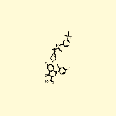 O=C(O)c1cn(-c2ccc(F)cc2F)c2cc(N3CC4C(C3)C4NC(=S)Nc3cccc(C(F)(F)F)c3)c(F)cc2c1=O